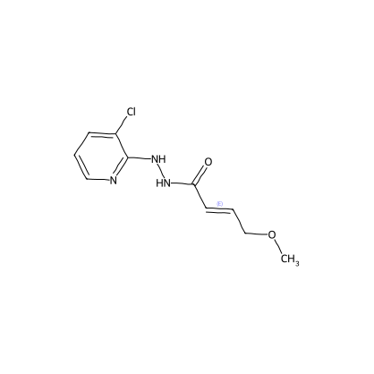 COC/C=C/C(=O)NNc1ncccc1Cl